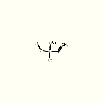 C=C[Si](CC)(CCCC)OCC